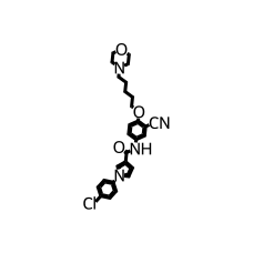 N#Cc1cc(NC(=O)c2ccn(-c3ccc(Cl)cc3)c2)ccc1OCCCCCN1CCOCC1